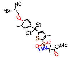 CCC(CC)(c1ccc(OCC(N=O)C(C)(C)C)c(C)c1)c1cc(C)c(S(=O)(=O)NC(C)(C)C(=O)OC)s1